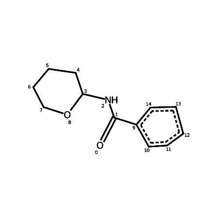 O=C(NC1CCCCO1)c1ccccc1